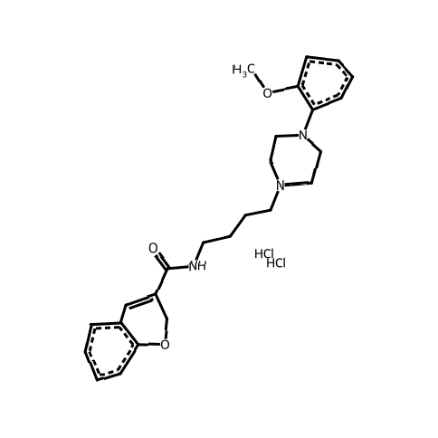 COc1ccccc1N1CCN(CCCCNC(=O)C2=Cc3ccccc3OC2)CC1.Cl.Cl